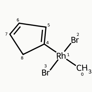 [CH3][Rh]([Br])([Br])[C]1=CC=CC1